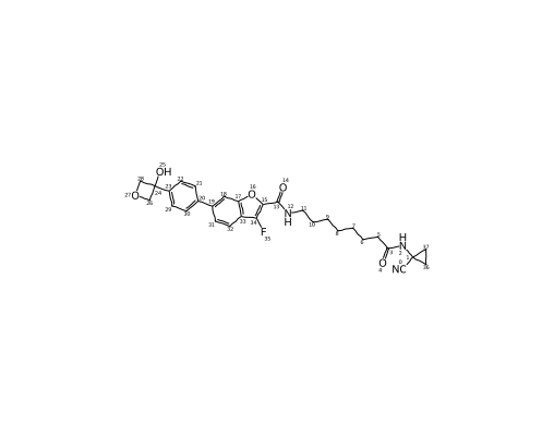 N#CC1(NC(=O)CCCCCCCNC(=O)c2oc3cc(-c4ccc(C5(O)COC5)cc4)ccc3c2F)CC1